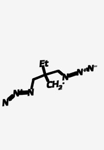 [CH2]CC([CH2])(CN=[N+]=[N-])CN=[N+]=[N-]